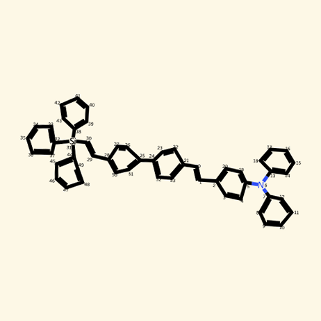 C(=C\c1ccc(N(c2ccccc2)c2ccccc2)cc1)/c1ccc(-c2ccc(/C=C/[Si](c3ccccc3)(c3ccccc3)c3ccccc3)cc2)cc1